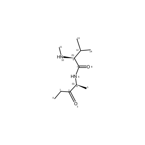 CCC(=O)[C@H](C)NC(=O)[C@@H](NC)C(C)C